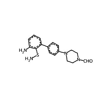 NSc1c(N)cccc1-c1ccc(N2CCN(C=O)CC2)cc1